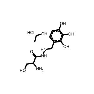 CCO.Cl.NC(CO)C(=O)NNCc1ccc(O)c(O)c1O